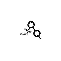 Cc1ccc(-c2ccccc2S(=O)(=O)NC(C)(C)C)cc1